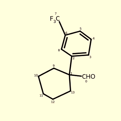 O=CC1(c2cccc(C(F)(F)F)c2)CCCCC1